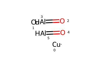 [Cu].[Cu].[O]=[AlH].[O]=[AlH]